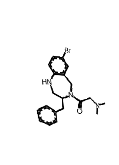 CN(C)CC(=O)N1Cc2cc(Br)ccc2NCC1Cc1ccccc1